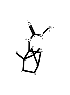 C[C](C)OC(=O)OC1CC2CCC1(C)C2(C)C